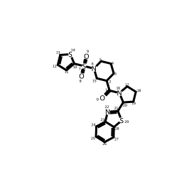 O=C(C1CCCN(S(=O)(=O)c2cccs2)C1)N1CCCC1c1nc2ccccc2s1